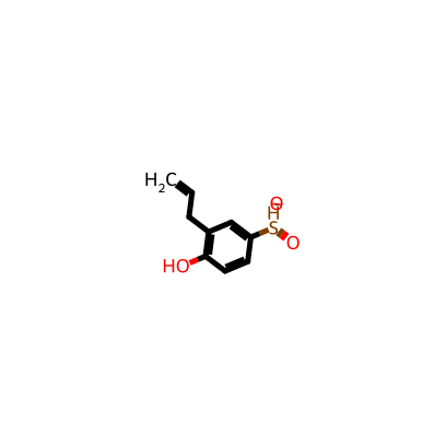 C=CCc1cc([SH](=O)=O)ccc1O